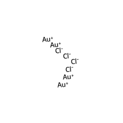 [Au+].[Au+].[Au+].[Au+].[Cl-].[Cl-].[Cl-].[Cl-]